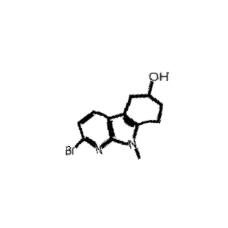 Cn1c2c(c3ccc(Br)nc31)CC(O)CC2